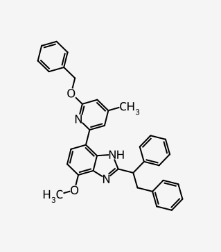 COc1ccc(-c2cc(C)cc(OCc3ccccc3)n2)c2[nH]c(C(Cc3ccccc3)c3ccccc3)nc12